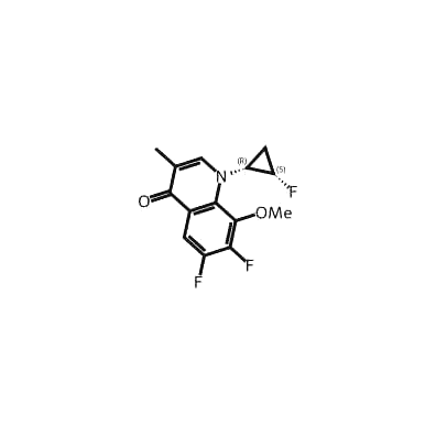 COc1c(F)c(F)cc2c(=O)c(C)cn([C@@H]3C[C@@H]3F)c12